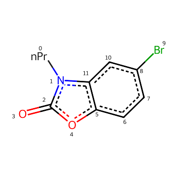 CCCn1c(=O)oc2ccc(Br)cc21